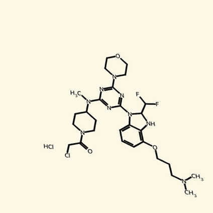 CN(C)CCCOc1cccc2c1NC(C(F)F)N2c1nc(N2CCOCC2)nc(N(C)C2CCN(C(=O)CCl)CC2)n1.Cl